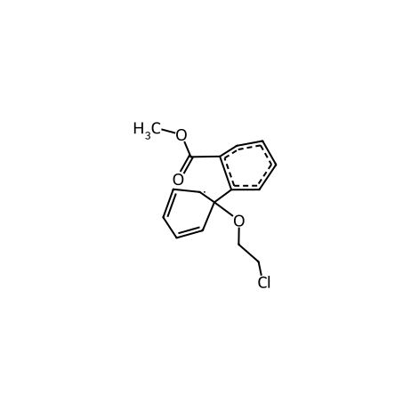 COC(=O)c1ccccc1C1(OCCCl)[CH]C=CC=C1